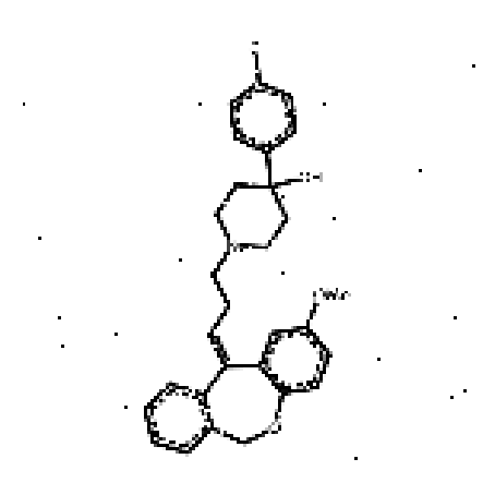 COc1ccc2c(c1)/C(=C\CCN1CCC(O)(c3ccc(Cl)cc3)CC1)c1ccccc1CO2